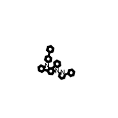 c1ccc(-c2ccc(-n3c4ccccc4c4ccc5c(c6ccccc6n5-c5cccc(-c6ccccc6)n5)c43)cc2)cc1